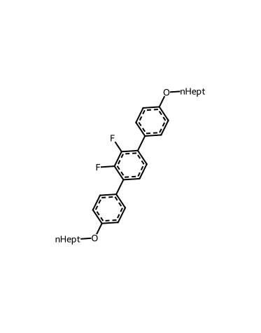 CCCCCCCOc1ccc(-c2ccc(-c3ccc(OCCCCCCC)cc3)c(F)c2F)cc1